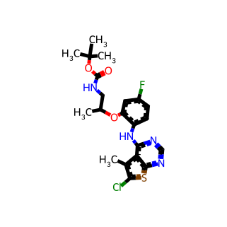 Cc1c(Cl)sc2ncnc(Nc3ccc(F)cc3OC(C)CNC(=O)OC(C)(C)C)c12